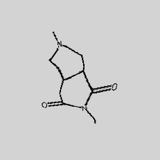 CN1CC2C(=O)N(C)C(=O)C2C1